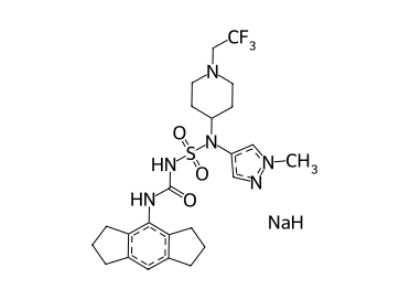 Cn1cc(N(C2CCN(CC(F)(F)F)CC2)S(=O)(=O)NC(=O)Nc2c3c(cc4c2CCC4)CCC3)cn1.[NaH]